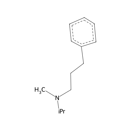 CC(C)N(C)CCCc1ccccc1